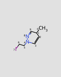 CC1C=CN(CCI)N=C1